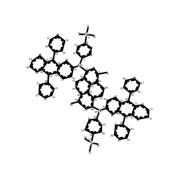 Cc1cc(N(c2ccc([Si](C)(C)C)cc2)c2ccc3c(-c4ccccc4)c4ccccc4c(-c4ccccc4)c3c2)c2ccc3c(C)cc(N(c4ccc([Si](C)(C)C)cc4)c4ccc5c(-c6ccccc6)c6ccccc6c(-c6ccccc6)c5c4)c4ccc1c2c34